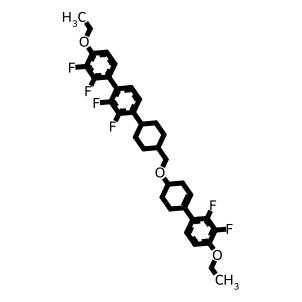 CCOc1ccc(C2=CCC(OCC3CCC(c4ccc(-c5ccc(OCC)c(F)c5F)c(F)c4F)CC3)CC2)c(F)c1F